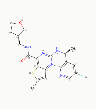 Cc1cc2nc(N[C@@H](C)c3cncc(F)c3)nc(C(=O)NC[C@H]3CCOC3)c2s1